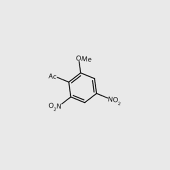 COc1cc([N+](=O)[O-])cc([N+](=O)[O-])c1C(C)=O